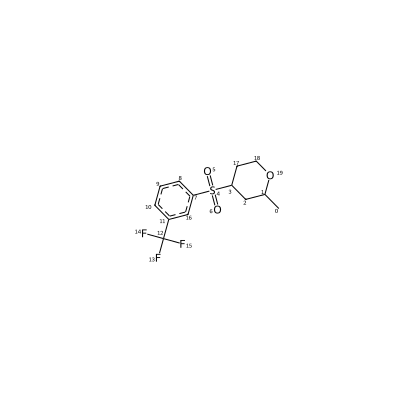 CC1CC(S(=O)(=O)c2cccc(C(F)(F)F)c2)CCO1